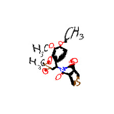 CCOc1ccc(C(CS(C)(=O)=O)N2C(=O)c3cscc3C2=O)cc1OC